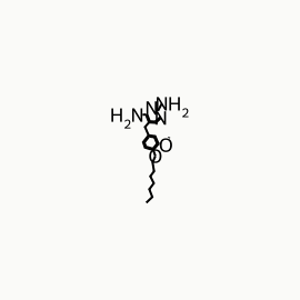 CCCCCCCOc1ccc(Cc2cnc(N)nc2N)cc1OC